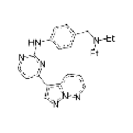 CCN(CC)Cc1ccc(Nc2nccc(-c3cnn4ncccc34)n2)cc1